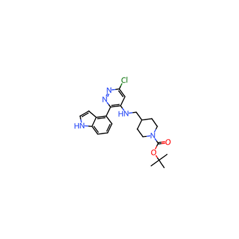 CC(C)(C)OC(=O)N1CCC(CNc2cc(Cl)nnc2-c2cccc3[nH]ccc23)CC1